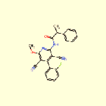 COc1nc(NC(=O)C(C)c2ccccc2)c(C#N)c(-c2ccccc2F)c1C#N